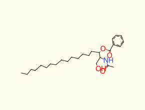 CCCCCCCCCCCCCCCC(OC(=O)c1ccccc1)C(CO)NC(C)=O